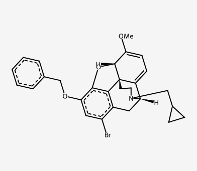 COC1=CC=C2[C@@H]3Cc4c(Br)cc(OCc5ccccc5)c5c4[C@]2(CCN3CC2CC2)[C@@H]1O5